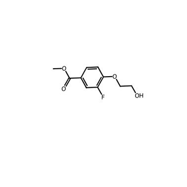 COC(=O)c1ccc(OCCO)c(F)c1